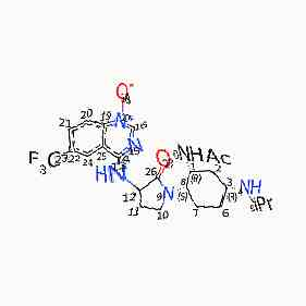 CC(=O)N[C@@H]1C[C@H](NC(C)C)CC[C@@H]1N1CCC(Nc2nc[n+]([O-])c3ccc(C(F)(F)F)cc23)C1=O